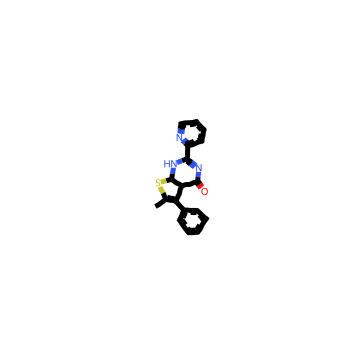 CC1=C(c2ccccc2)C2C(=O)N=C(c3ccccn3)NC2S1